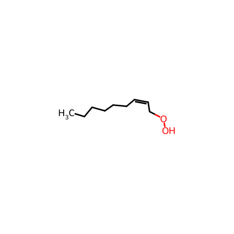 CCCCCC/C=C\COO